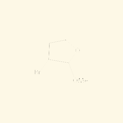 COC1OCCC1Br